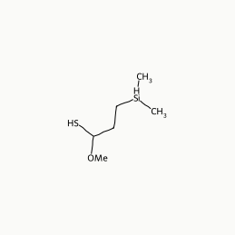 COC(S)CC[SiH](C)C